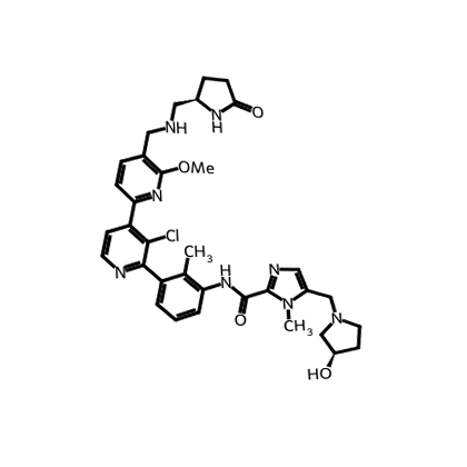 COc1nc(-c2ccnc(-c3cccc(NC(=O)c4ncc(CN5CC[C@@H](O)C5)n4C)c3C)c2Cl)ccc1CNC[C@H]1CCC(=O)N1